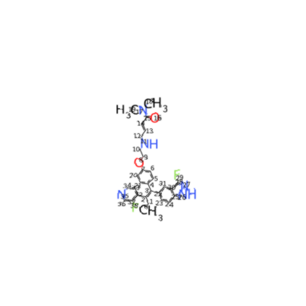 CC/C(=C(/c1ccc(OCCNC/C=C/C(=O)N(C)C)cc1)c1ccc2[nH]nc(F)c2c1)c1ccncc1F